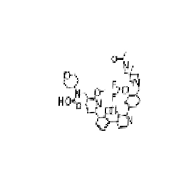 COc1nc(-c2cccc(-c3ccnc(-c4ccc(CN5CC6(C5)CN(C(C)=O)C6)c(OC(F)F)c4)c3Cl)c2Cl)ccc1CN(C(=O)O)C1CCOCC1